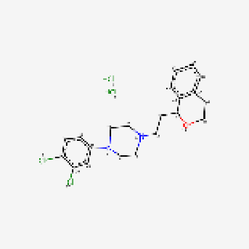 Cl.Cl.Clc1ccc(N2CCN(CCC3OCCc4ccccc43)CC2)cc1Cl